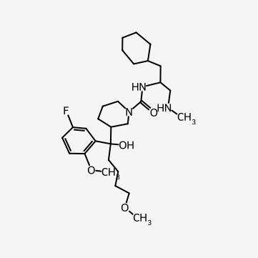 CNCC(CC1CCCCC1)NC(=O)N1CCCC(C(O)(CCCCOC)c2cc(F)ccc2OC)C1